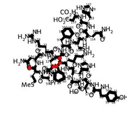 CSCC[C@H](NC(=O)[C@@H](NC(=O)[C@H](CC(C)C)NC(=O)[C@H](CCCCN)NC(=O)[C@H](Cc1c[nH]cn1)NC(=O)[C@H](CO)NC(=O)[C@@H](NC(=O)[C@@H](N)Cc1ccc(O)cc1)[C@@H](C)O)C(C)C)C(=O)N[C@@H](CC(N)=O)C(=O)N[C@@H](CCCNC(=N)N)C(=O)N[C@@H](Cc1c[nH]c2ccccc12)C(=O)N[C@@H](Cc1ccccc1)C(=O)N[C@@H](CS)C(=O)N[C@@H](CCC(N)=O)C(=O)N[C@@H](Cc1c[nH]cn1)C(=O)N[C@@H](CC(=O)O)C(=O)O